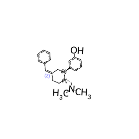 CN(C)C[C@@H]1CC/C(=C/c2ccccc2)C[C@H]1c1cccc(O)c1